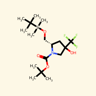 CC(C)(C)OC(=O)N1CC(O)(C(F)(F)F)C[C@H]1CO[Si](C)(C)C(C)(C)C